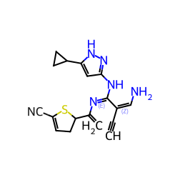 C#CC(=C/N)/C(=N\C(=C)C1CC=C(C#N)S1)Nc1cc(C2CC2)[nH]n1